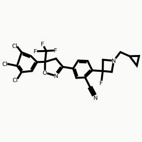 N#Cc1cc(C2=NOC(c3cc(Cl)c(Cl)c(Cl)c3)(C(F)(F)F)C2)ccc1C1(F)CN(CC2CC2)C1